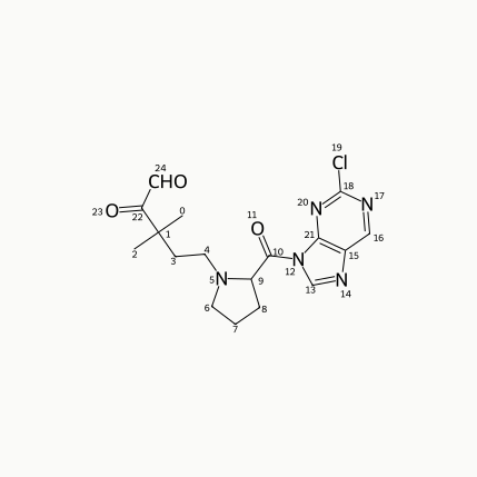 CC(C)(CCN1CCCC1C(=O)n1cnc2cnc(Cl)nc21)C(=O)C=O